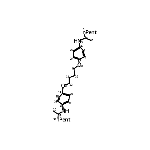 CCCCCC(C)Nc1ccc(OCCCCOc2ccc(NC(C)CCCCC)cc2)cc1